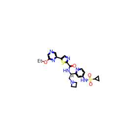 CCOc1cncc(-c2cnc(C(=O)N[C@H](CN3CCC3)c3cc(NS(=O)(=O)C4CC4)ccn3)s2)n1